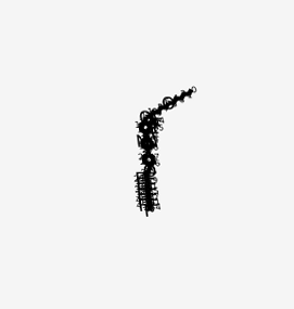 CCCCCCOCCCCC1Oc2ccc(-c3ncc(-c4ccc(OCC(F)(F)C(F)(F)C(F)(F)C(F)(F)C(F)(F)C(F)(F)F)cc4)cn3)c(F)c2C1(F)F